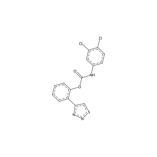 O=C(Nc1ccc(Cl)c(Cl)c1)Oc1ccccc1-c1csnn1